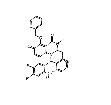 CN1C(=O)c2c(OCc3ccccc3)c(=O)ccn2N([C@@H](c2cc(F)c(F)cc2O)c2ccccc2F)C1CCBr